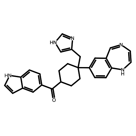 O=C(c1ccc2[nH]ccc2c1)C1CCC(Cc2c[nH]cn2)(c2ccc3c(c2)C=NC=CN3)CC1